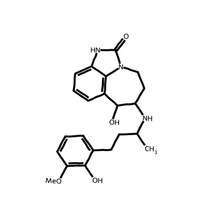 COc1cccc(CCC(C)NC2CCn3c(=O)[nH]c4cccc(c43)C2O)c1O